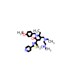 CCc1c(CN(CC)CCN(C)C)cc(-c2csc(-c3ccncc3)n2)c(=O)n1Cc1ccc(OC)cc1